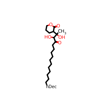 CCCCCCCCCCCCCCCCCCCCCC(=O)C(O)C(C)(O)C1CCCOC1=O